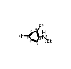 CCNc1ccc(F)cc1F